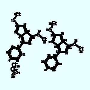 CCSC1=CC2=C(c3ccccc3)C=C(SCC)C2=C1.CCSC1=CC2=C(c3ccccc3)C=C(SCC)C2=C1.[Cl-].[Cl-].[Zr+2]